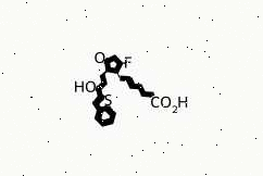 O=C(O)CCCC=CC[C@H]1[C@@H](F)CC(=O)[C@@H]1CCC(O)c1cc2ccccc2s1